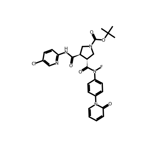 CC(C)(C)OC(=O)N1C[C@H](C(=O)Nc2ccc(Cl)cn2)[C@@H](C(=O)N(F)c2ccc(-n3ccccc3=O)cc2)C1